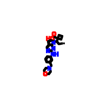 [CH2]CC(n1ccc2cnc(Nc3cccc(CN4CCOCC4)c3)nc21)C1(C(=O)O)CCC1